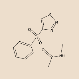 CNC(C)=O.O=S(=O)(c1ccccc1)c1csnn1